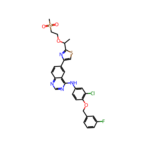 CC(OCCS(C)(=O)=O)c1nc(-c2ccc3ncnc(Nc4ccc(OCc5cccc(F)c5)c(Cl)c4)c3c2)cs1